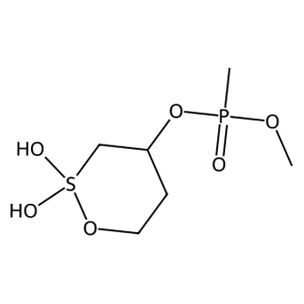 COP(C)(=O)OC1CCOS(O)(O)C1